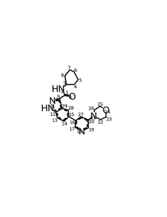 O=C(NC1CCCCC1)c1n[nH]c2ccc(-c3cncc(N4CCOCC4)c3)cc12